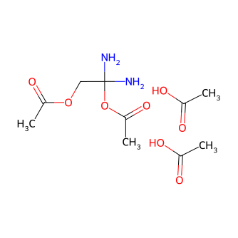 CC(=O)O.CC(=O)O.CC(=O)OCC(N)(N)OC(C)=O